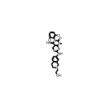 Cn1c(=O)n(-c2c(Cl)cccc2Cl)c(=N)c2cnc(Nc3ccc4c(c3)CN(CCO)CC4)nc21